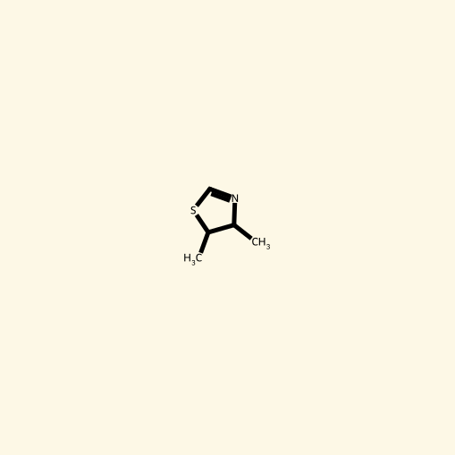 CC1N=CSC1C